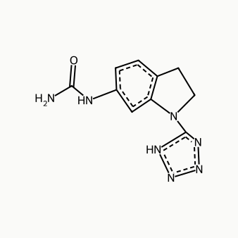 NC(=O)Nc1ccc2c(c1)N(c1nnn[nH]1)CC2